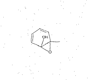 CC12C=CC=CC1(O)O2